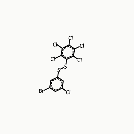 Clc1cc(Br)cc(SSc2c(Cl)c(Cl)c(Cl)c(Cl)c2Cl)c1